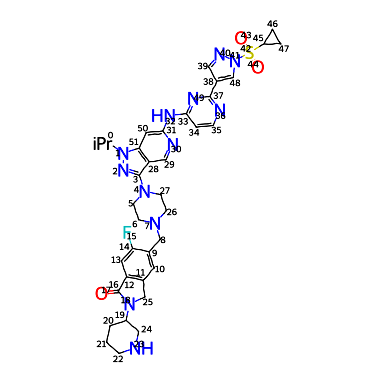 CC(C)n1nc(N2CCN(Cc3cc4c(cc3F)C(=O)N(C3CCCNC3)C4)CC2)c2cnc(Nc3ccnc(-c4cnn(S(=O)(=O)C5CC5)c4)n3)cc21